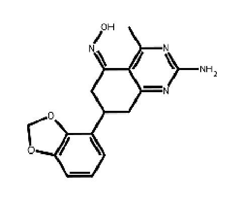 Cc1nc(N)nc2c1/C(=N\O)CC(c1cccc3c1OCO3)C2